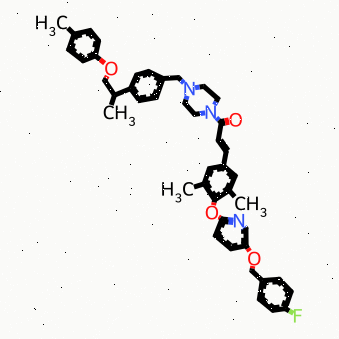 Cc1ccc(OCC(C)c2ccc(CN3CCN(C(=O)C=Cc4cc(C)c(Oc5ccc(OCc6ccc(F)cc6)cn5)c(C)c4)CC3)cc2)cc1